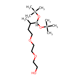 CC(CCOCCOCCO)[SiH](O[Si](C)(C)C)O[Si](C)(C)C